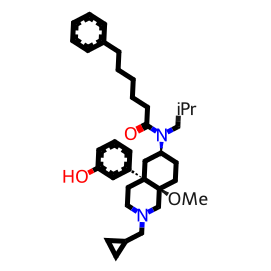 CO[C@]12CC[C@H](N(CC(C)C)C(=O)CCCCCc3ccccc3)C[C@]1(c1cccc(O)c1)CCN(CC1CC1)C2